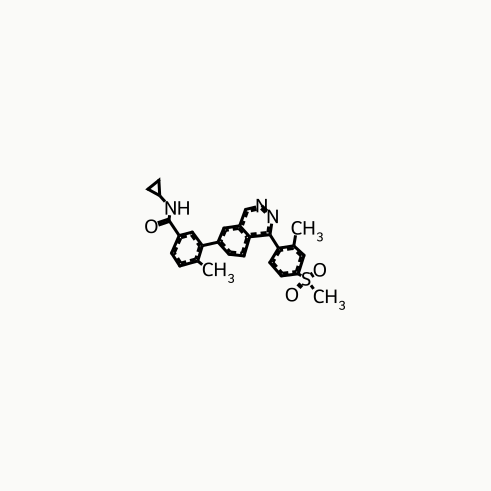 Cc1ccc(C(=O)NC2CC2)cc1-c1ccc2c(-c3ccc(S(C)(=O)=O)cc3C)nncc2c1